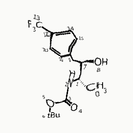 C[C@H](NC(=O)OC(C)(C)C)[C@H](O)c1ccc(C(F)(F)F)cc1